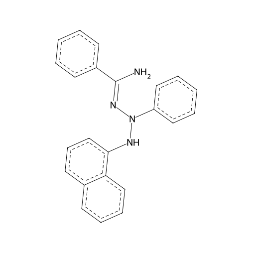 N/C(=N\N(Nc1cccc2ccccc12)c1ccccc1)c1ccccc1